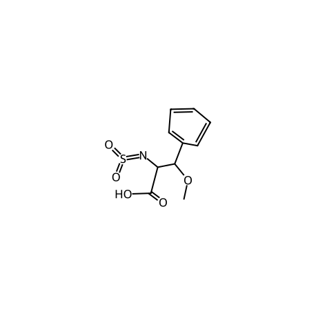 COC(c1ccccc1)C(N=S(=O)=O)C(=O)O